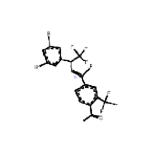 CC(=O)c1ccc(/C(F)=C/C(c2cc(Br)cc(Br)c2)C(F)(F)F)cc1C(F)(F)F